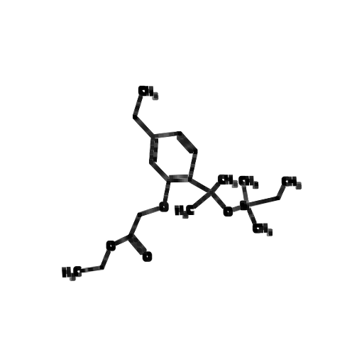 CCOC(=O)COc1cc(CC)ccc1C(C)(C)O[Si](C)(C)CC